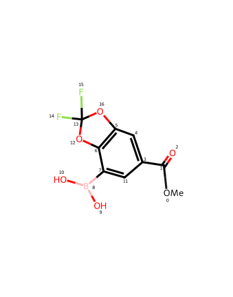 COC(=O)c1cc2c(c(B(O)O)c1)OC(F)(F)O2